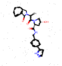 CC(C)C(C(=O)N1C[C@H](O)C[C@H]1C(=O)NCc1ccc(-c2ccn[nH]2)cc1)N1Cc2ccccc2C1=O